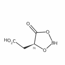 O=C(O)C[C@@H]1OBOC1=O